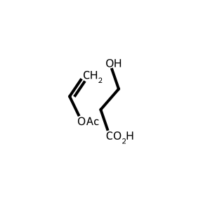 C=COC(C)=O.O=C(O)CCO